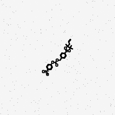 C=CCC1(C)OB(c2ccc(COC(=O)Oc3ccc([N+](=O)[O-])cc3)cc2)OC1(C)C